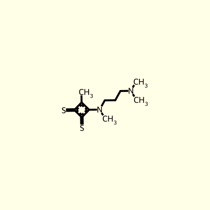 Cc1c(N(C)CCCN(C)C)c(=S)c1=S